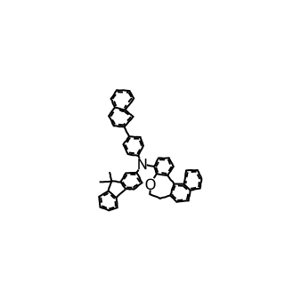 CC1(C)c2ccccc2-c2ccc(N(c3ccc(-c4ccc5ccccc5c4)cc3)c3cccc4c3OCCc3ccc5ccccc5c3-4)cc21